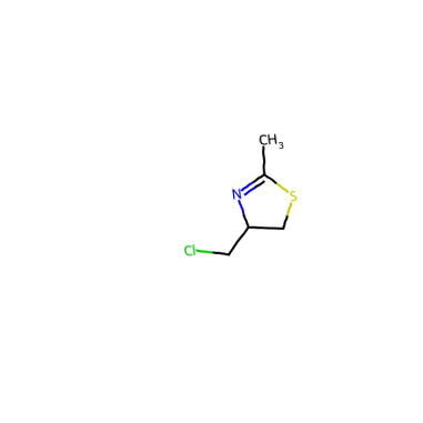 CC1=NC(CCl)CS1